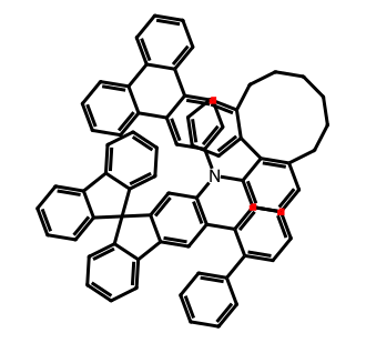 c1ccc(-c2ccccc2-c2cc3c(cc2N(c2ccc4c5ccccc5c5ccccc5c4c2)c2cccc4c2-c2ccccc2CCCCCC4)C2(c4ccccc4-c4ccccc42)c2ccccc2-3)cc1